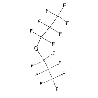 FC(F)(F)C(F)(F)C(F)(F)OC(F)(F)C(F)(F)C(F)(F)F